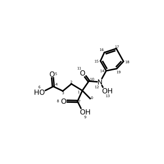 CC(CCC(=O)O)(C(=O)O)C(=O)N(O)c1ccccc1